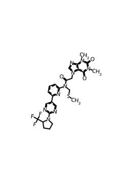 CSCN(C(=O)Cn1cnc2c1c(=O)n(C)c(=O)n2C)c1cccc(-c2cnc(N3CCCC3C(F)(F)F)nc2)n1